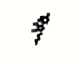 O=c1ccn([C@@H]2O[C@H](COOOF)[C@@H](O)[C@H]2O)c(=O)[nH]1